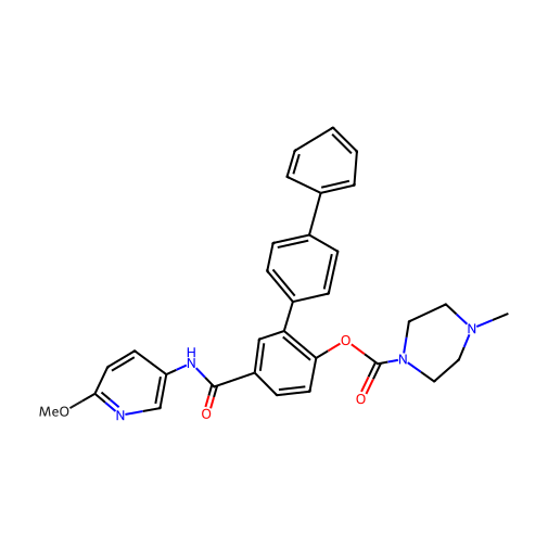 COc1ccc(NC(=O)c2ccc(OC(=O)N3CCN(C)CC3)c(-c3ccc(-c4ccccc4)cc3)c2)cn1